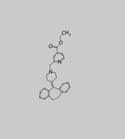 CCOC(=O)c1ccnc(CN2CCC(=C3c4ccccc4CCc4ccccc43)CC2)c1